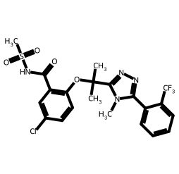 Cn1c(-c2ccccc2C(F)(F)F)nnc1C(C)(C)Oc1ccc(Cl)cc1C(=O)NS(C)(=O)=O